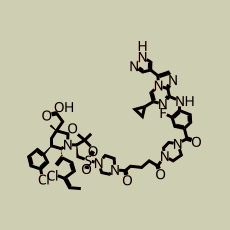 C=C(/C=C\C(Cl)=C/C)[C@@H]1[C@@H](c2cccc(Cl)c2)C[C@](C)(CC(=O)O)C(=O)N1[C@H](CS(=O)(=O)N1CCN(C(=O)CCCC(=O)N2CCN(C(=O)c3ccc(Nc4nc(C5CC5)cn5c(-c6cn[nH]c6)cnc45)c(F)c3)CC2)CC1)C(C)(C)C